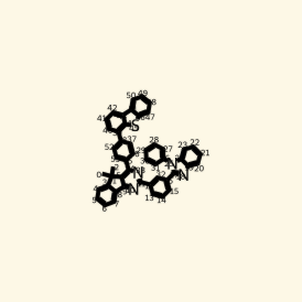 CC1(C)c2ccccc2-c2nc(-c3cccc(-c4nc5ccccc5n4-c4ccccc4)c3)nc(-c3ccc(-c4cccc5c4sc4ccccc45)cc3)c21